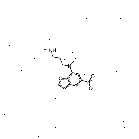 CNCCCN(C)c1cc([N+](=O)[O-])cc2ccoc12